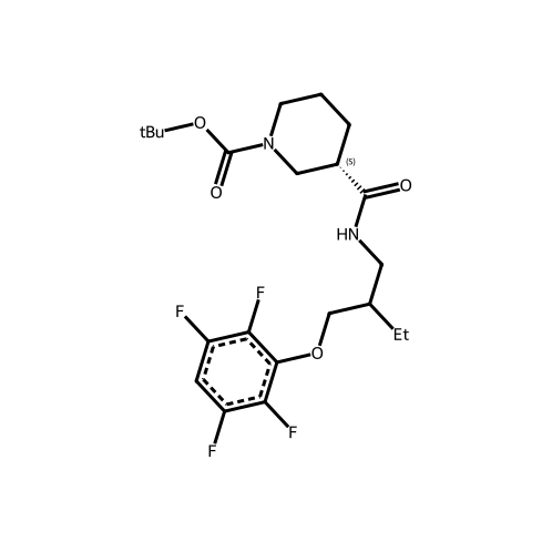 CCC(CNC(=O)[C@H]1CCCN(C(=O)OC(C)(C)C)C1)COc1c(F)c(F)cc(F)c1F